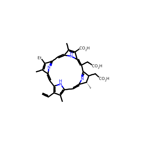 C=Cc1c(C)c2cc3nc(c(CC(=O)O)c4[nH]c(cc5nc(cc1[nH]2)C(C)=C5CC)c(C)c4C(=O)O)C(CC(=O)O)[C@@H]3C